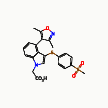 Cc1noc(C)c1-c1cccc2c1c(Sc1ccc(S(C)(=O)=O)cc1)cn2CC(=O)O